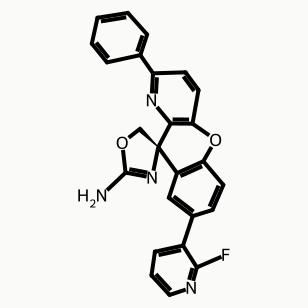 NC1=N[C@@]2(CO1)c1cc(-c3cccnc3F)ccc1Oc1ccc(-c3ccccc3)nc12